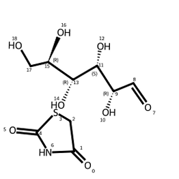 O=C1CSC(=O)N1.O=C[C@H](O)[C@@H](O)[C@H](O)[C@H](O)CO